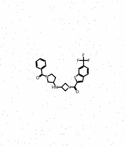 O=C(c1ccccc1)N1CCC(NC2CN(C(=O)c3cc4ccc(C(F)(F)F)cc4s3)C2)C1